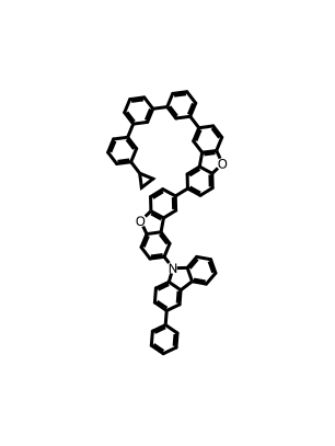 c1ccc(-c2ccc3c(c2)c2ccccc2n3-c2ccc3oc4ccc(-c5ccc6oc7ccc(-c8cccc(-c9cccc(-c%10cccc(C%11CC%11)c%10)c9)c8)cc7c6c5)cc4c3c2)cc1